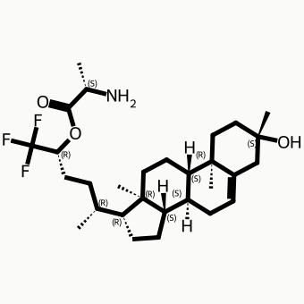 C[C@H](N)C(=O)O[C@H](CC[C@@H](C)[C@H]1CC[C@H]2[C@@H]3CC=C4C[C@@](C)(O)CC[C@]4(C)[C@H]3CC[C@]12C)C(F)(F)F